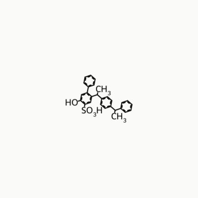 CC(c1ccccc1)c1ccc(C(C)c2cc(S(=O)(=O)O)c(O)cc2-c2ccccc2)cc1